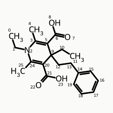 CCN1C(C)=C(C(=O)O)C(CC)(CCc2ccccc2)C(C(=O)O)=C1C